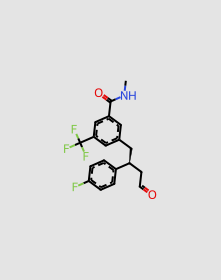 CNC(=O)c1cc(C[C@@H](CC=O)c2ccc(F)cc2)cc(C(F)(F)F)c1